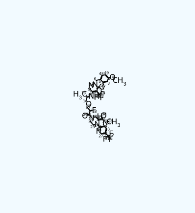 COc1ccc(Cn2ncc(NC(C)COCC(F)C(=O)N3CCN4c5ncc(C(F)(F)F)cc5N(C)C(=O)[C@@H]4C3)c(C(F)(F)F)c2=O)cc1